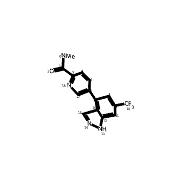 CNC(=O)c1ccc(-c2cc(C(F)(F)F)cc3[nH]ncc23)cn1